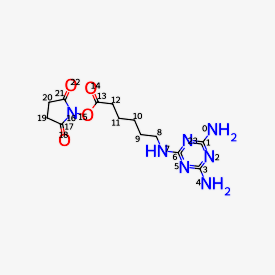 Nc1nc(N)nc(NCCCCCC(=O)ON2C(=O)CCC2=O)n1